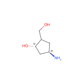 N[C@@H]1CC(CO)[C@@H](O)C1